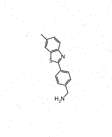 Cc1ccc2nc(-c3ccc(CN)cc3)sc2c1